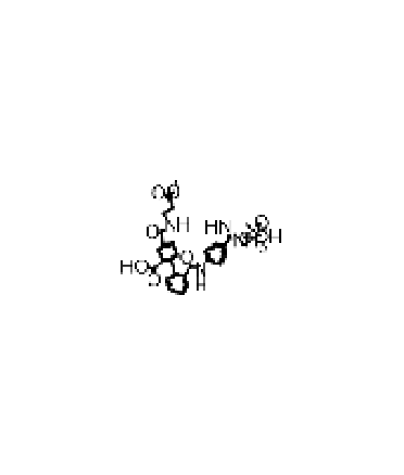 COC(=O)CCNC(=O)c1ccc(-c2ccccc2C(=O)Nc2ccc(C(=N)N)cc2)c(C(=O)O)c1.CS(=O)(=O)O